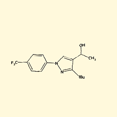 CC(O)c1cn(-c2ccc(C(F)(F)F)cc2)nc1C(C)(C)C